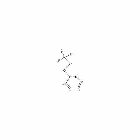 FC(F)(F)COc1nc[c]cn1